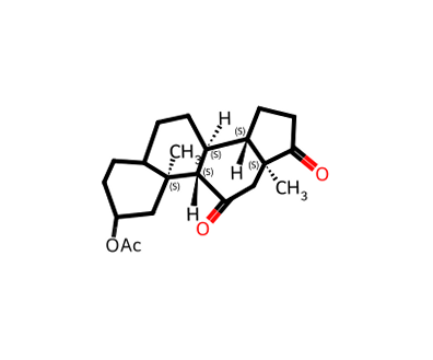 CC(=O)OC1CCC2CC[C@@H]3[C@H](C(=O)C[C@]4(C)C(=O)CC[C@@H]34)[C@@]2(C)C1